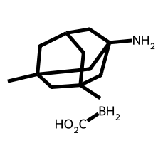 BC(=O)O.CC12CC3CC(C)(C1)CC(N)(C3)C2